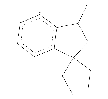 CCC1(CC)CC(C)c2[c]cccc21